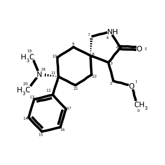 COCC1C(=O)NC[C@]12CC[C@@](c1ccccc1)(N(C)C)CC2